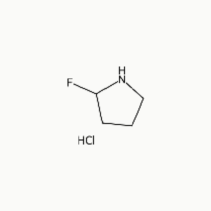 Cl.FC1CCCN1